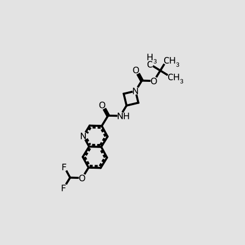 CC(C)(C)OC(=O)N1CC(NC(=O)c2cnc3cc(OC(F)F)ccc3c2)C1